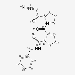 [N-]=[N+]=CC(=O)C1CCCN1C(=O)C1CCCN1C(=O)NCc1ccccc1